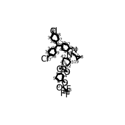 O=C(Oc1cccc(S(=O)(=O)N2CCC(n3c(C4CC4)nc4ccc(C(c5ccc(Cl)cc5)c5ccc(Cl)cc5)cc43)CC2)c1)C(F)(F)F